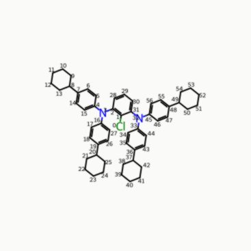 Clc1c(N(c2ccc(C3CCCCC3)cc2)c2ccc(C3CCCCC3)cc2)cccc1N(c1ccc(C2CCCCC2)cc1)c1ccc(C2CCCCC2)cc1